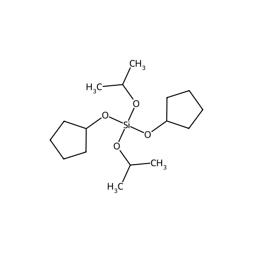 CC(C)O[Si](OC(C)C)(OC1CCCC1)OC1CCCC1